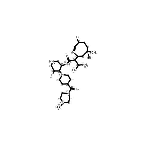 CC[C@]1(C)CCC(F)/C=N\C(C(C(=O)NC2CNCC(F)C2N2CCC(C(=O)N3CCN(C)CC3)CC2)C(N)N)C1